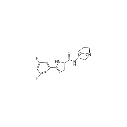 O=C(NC1CN2CCC1CC2)c1ccc(-c2cc(F)cc(F)c2)[nH]1